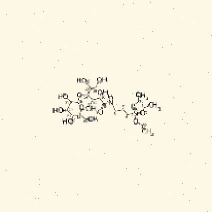 CCO[Si](CCCNC(=O)C(O)C(O)C(OC1OC(CO)C(O)C(O)C1O)C(O)CO)(OCC)OCC